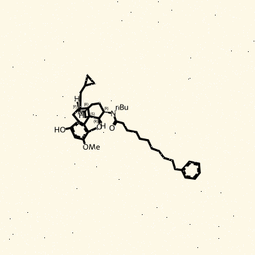 CCCCN(C(=O)CCCCCCCCCCc1ccccc1)[C@@H]1CC[C@H]2[C@H]3Cc4c(O)cc(OC)c5c4[C@@]2(CCN3CC2CC2)[C@H]1O5